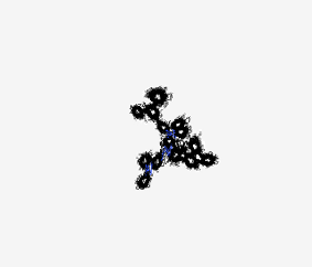 CC1(C)c2c(ccc3c4ccccc4c4ccccc4c23)-c2ccc3c(c21)c1cc(N(c2ccc(-c4cc(-c5ccccc5)cc(-c5ccccc5)c4)cc2)c2cccc4ccccc24)ccc1n3-c1ccc2c(c1)c1ccccc1n2-c1ccccc1